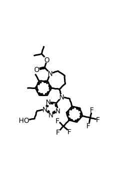 Cc1ccc2c(c1C)N(C(=O)OC(C)C)CCCC2N(Cc1cc(C(F)(F)F)cc(C(F)(F)F)c1)c1nnn(CCO)n1